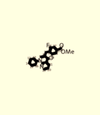 COC(=O)c1ccc(Cc2cn(-c3ccccc3)c3ncccc3c2=O)c(F)c1